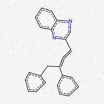 C(=Cc1cnc2ccccc2n1)=C(Cc1ccccc1)c1ccccc1